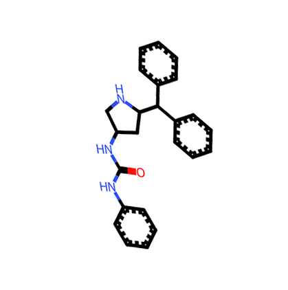 O=C(Nc1ccccc1)NC1CNC(C(c2ccccc2)c2ccccc2)C1